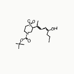 CCC/C(O)=C\C=C(/C)C1CN(C(=O)OC(C)(C)C)CCS1(=O)=O